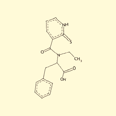 CCN(C(=O)c1ccc[nH]c1=S)C(Cc1ccccc1)C(=O)O